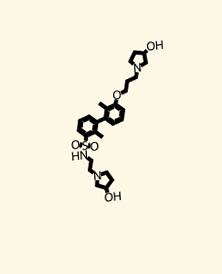 Cc1c(OCCCN2CCC(O)C2)cccc1-c1cccc(S(=O)(=O)NCCN2CCC(O)C2)c1C